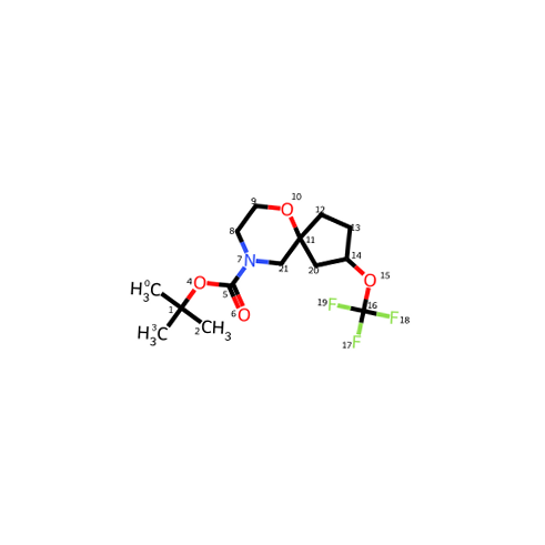 CC(C)(C)OC(=O)N1CCOC2(CCC(OC(F)(F)F)C2)C1